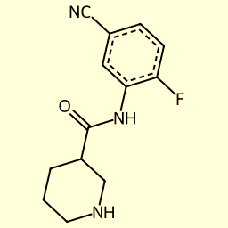 N#Cc1ccc(F)c(NC(=O)C2CCCNC2)c1